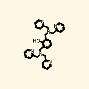 Oc1c(CN(Cc2ccccn2)Cc2ccccn2)cccc1CN(Cc1ccccn1)Cc1ccccn1